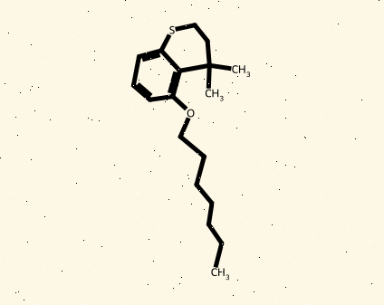 CCCCCCCOc1cccc2c1C(C)(C)CCS2